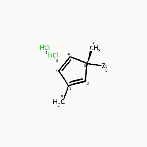 CC1=C[C@@](C)([Zr])C=C1.Cl.Cl